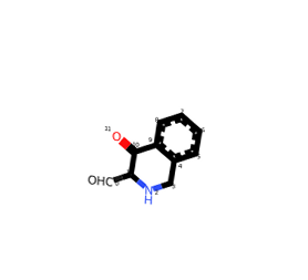 O=CC1NCc2ccccc2C1=O